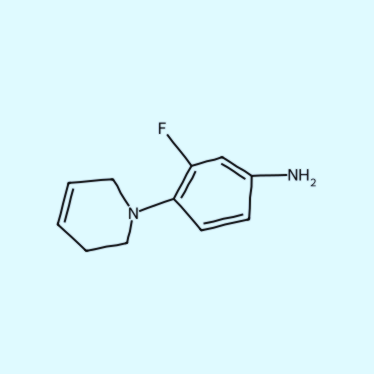 Nc1ccc(N2CC=CCC2)c(F)c1